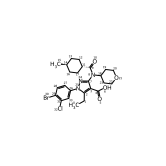 CCc1c(C(=O)O)c(N(C(=O)[C@H]2CC[C@H](C)CC2)C2CCOCC2)nn1-c1ccc(Br)c(Cl)c1